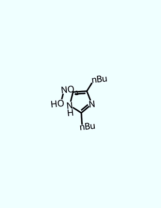 CCCCc1c[nH]c(CCCC)n1.O=[N+]([O-])O